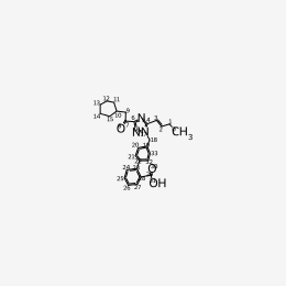 CCC=Cc1nc(C(=O)CC2CCCCC2)nn1Cc1ccc(-c2ccccc2C(=O)O)cc1